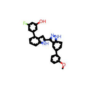 COc1cccc(-c2ccc3[nH]nc(-c4cc5c(-c6cc(O)cc(F)c6)cccc5[nH]4)c3c2)c1